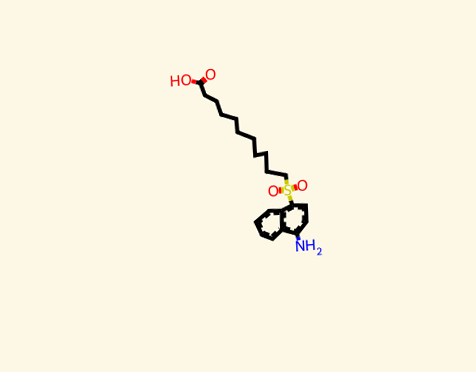 Nc1ccc(S(=O)(=O)CCCCCCCCCCC(=O)O)c2ccccc12